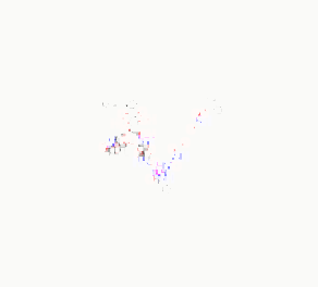 COc1cccc2c1C(=O)c1c(O)c3c(c(O)c1C2=O)C[C@@](O)(C(=O)N[C@H]1CO[C@H]2[C@@H]1OC[C@@H]2NC(=O)CNC(=O)[C@H](Cc1ccccc1)NC(=O)CNC(=O)CNC(=O)CCOCCOCCNC(=O)OCC1c2ccccc2-c2ccccc21)C[C@@H]3O[C@H]1C[C@H]2[C@H](O[C@@H]3[C@@H](OC)OCCN32)[C@H](C)O1